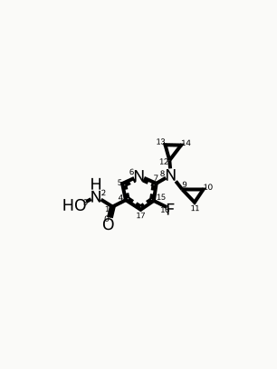 O=C(NO)c1cnc(N(C2CC2)C2CC2)c(F)c1